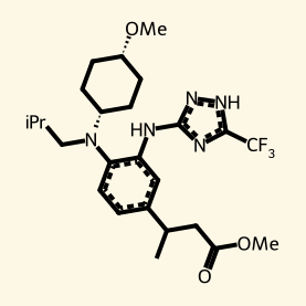 COC(=O)CC(C)c1ccc(N(CC(C)C)[C@H]2CC[C@@H](OC)CC2)c(Nc2n[nH]c(C(F)(F)F)n2)c1